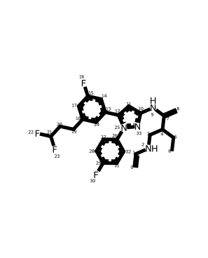 C=CNCC(CC)C(=C)Nc1cc(-c2cc(F)cc(CCC(F)F)c2)n(-c2ccc(F)cc2)n1